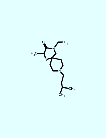 CCN1CC2(CCN(CCC(C)C)CC2)OC(C)C1=O